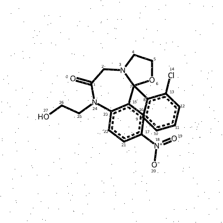 O=C1CN2CCOC2(c2ccccc2Cl)c2cc([N+](=O)[O-])ccc2N1CCO